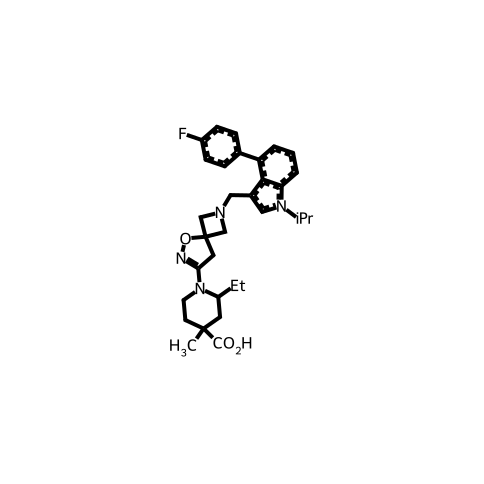 CCC1CC(C)(C(=O)O)CCN1C1=NOC2(C1)CN(Cc1cn(C(C)C)c3cccc(-c4ccc(F)cc4)c13)C2